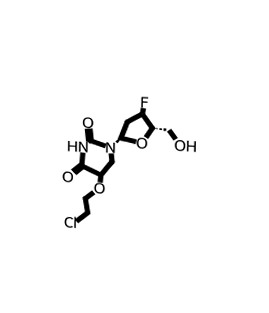 O=C1NC(=O)N([C@@H]2CC(F)[C@H](CO)O2)CC1OCCCl